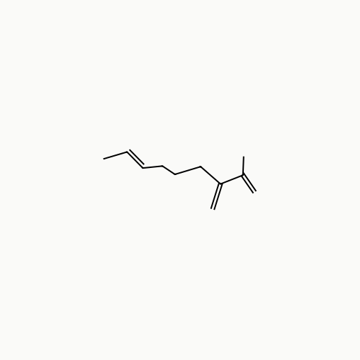 C=C(C)C(=C)CCCC=CC